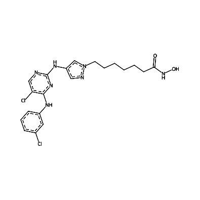 O=C(CCCCCCn1cc(Nc2ncc(Cl)c(Nc3cccc(Cl)c3)n2)cn1)NO